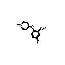 CN1CCC(Oc2ccc(F)cc2C(C)(C)C)CC1